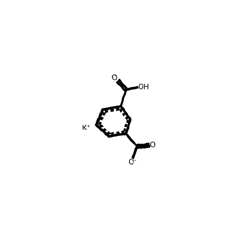 O=C([O-])c1cccc(C(=O)O)c1.[K+]